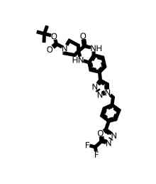 CC(C)(C)OC(=O)N1CCC2(CC1)Nc1cc(-c3cn(Cc4ccc(-c5nnc(C(F)F)o5)cc4)nn3)ccc1NC2=O